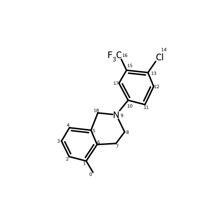 Cc1cccc2c1CCN(c1ccc(Cl)c(C(F)(F)F)c1)C2